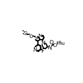 CN(C(=O)OC(C)(C)C)[C@H]1CCCN(c2ccnc3c2c(-c2cncc(F)c2)cn3COCC[Si](C)(C)C)C1